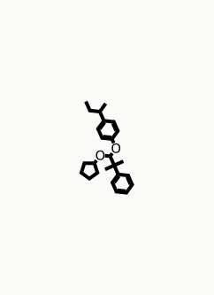 CCC(C)c1ccc(OC(OC2CCCC2)C(C)(C)c2ccccc2)cc1